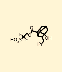 CC(C)CC1C2CC3CC(CC1(O)C3)C2C(=O)OCC(F)(F)S(=O)(=O)O